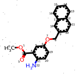 COC(=O)c1cc(OCc2ccc3ccccc3c2)ccc1N